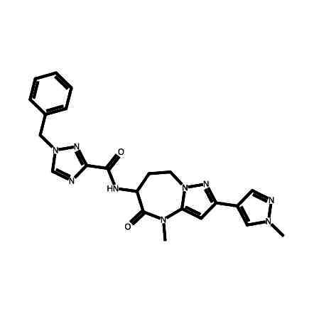 CN1C(=O)C(NC(=O)c2ncn(Cc3ccccc3)n2)CCn2nc(-c3cnn(C)c3)cc21